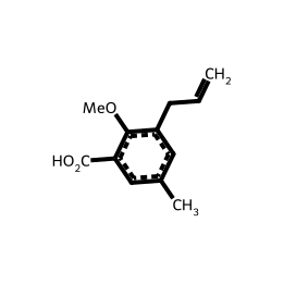 C=CCc1cc(C)cc(C(=O)O)c1OC